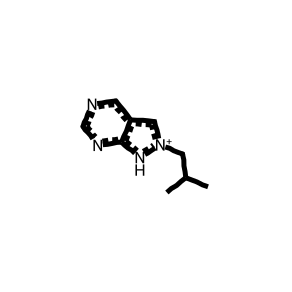 CC(C)C[n+]1cc2cncnc2[nH]1